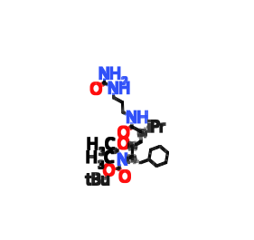 CC(C)[C@H](C[C@@H]1OC(C)(C)N(C(=O)OC(C)(C)C)[C@H]1CC1CCCCC1)C(=O)NCCCNC(N)=O